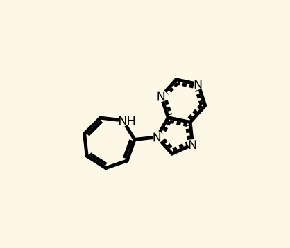 C1=CC=C(n2cnc3cncnc32)NC=C1